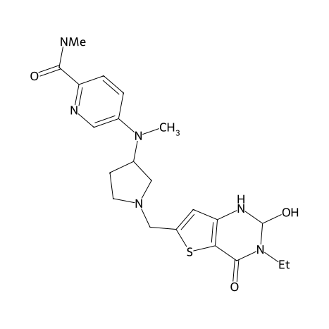 CCN1C(=O)c2sc(CN3CCC(N(C)c4ccc(C(=O)NC)nc4)C3)cc2NC1O